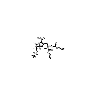 C=CCOC(=O)NC[C@@H](CC1=C(C(=O)O)N2C(=O)[C@H]([C@@H](C)O[Si](C)(C)C(C)(C)C)[C@H]2C1)N(C)C(=O)OCC=C